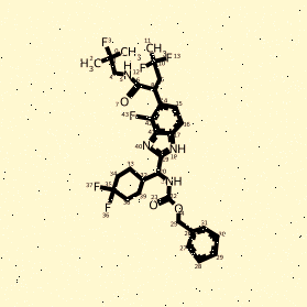 CC(C)(F)CNC(=O)C(CC(C)(F)F)c1ccc2[nH]c(C(NC(=O)OCc3ccccc3)C3CCC(F)(F)CC3)nc2c1F